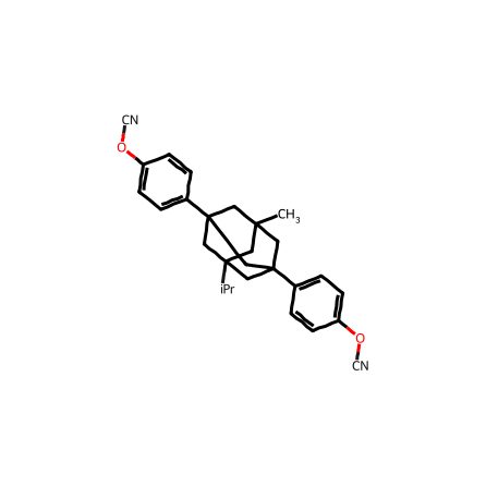 CC(C)C12CC3(C)CC(c4ccc(OC#N)cc4)(CC(c4ccc(OC#N)cc4)(C3)C1)C2